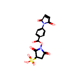 O=C(ON1C(=O)CC(S(=O)(=O)O)C1=O)c1ccc(N2C(=O)C=CC2=O)cc1